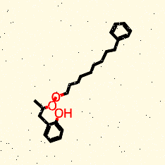 CC(Cc1ccccc1O)OOCCCCCCCCCc1ccccc1